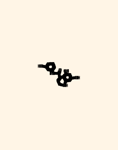 O=C(Nc1cccc(O)c1)C1=CCNc2cc(O)cc(O)c21